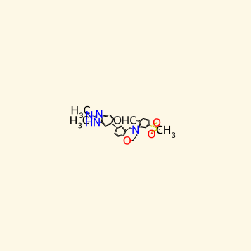 CN(C)c1nc2ccc(-c3ccc4c(c3)CN(c3cc(S(C)(=O)=O)ccc3C=O)CCO4)cc2[nH]1